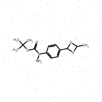 CC1OC(c2ccc(N(N)C(=O)OC(C)(C)C)cc2)O1